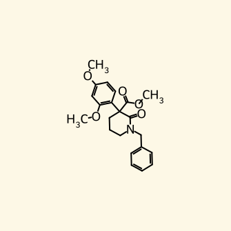 COC(=O)C1(c2ccc(OC)cc2OC)CCCN(Cc2ccccc2)C1=O